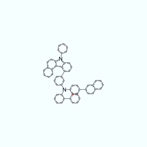 c1ccc(-c2ccccc2N(c2ccc(-c3ccc4ccccc4c3)cc2)c2cccc(-c3cccc4c3c3c5ccccc5ccc3n4-c3ccccc3)c2)cc1